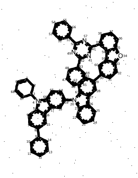 C1=CCC(n2c3ccc(-c4ccccc4)cc3c3cc(-n4c5ccccc5c5cc(-c6ccc7oc8cccc(-c9nc(-c%10ccccc%10)nc(-c%10ccccc%10)n9)c8c7c6)ccc54)ccc32)C=C1